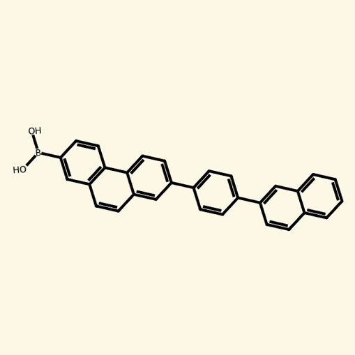 OB(O)c1ccc2c(ccc3cc(-c4ccc(-c5ccc6ccccc6c5)cc4)ccc32)c1